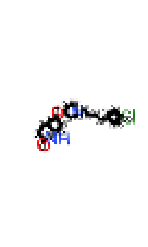 O=C1CCc2cc(OC3CCN(CCCCc4ccc(Cl)cc4)CC3)ccc2N1